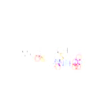 C=C/C=C\C=C1/CC(CCSCC(=O)OC)C2C=CC=CC2=C1N1C(=O)NC2C(CCCCC(=O)ON3C(=O)CCC3=O)SCC21